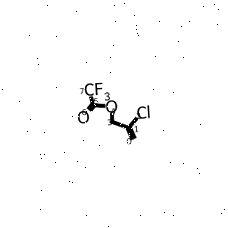 C=C(Cl)COC(=O)C(F)(F)F